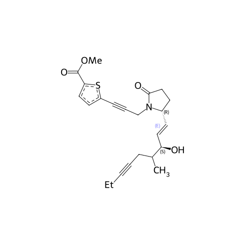 CCC#CCC(C)[C@H](O)/C=C/[C@H]1CCC(=O)N1CC#Cc1ccc(C(=O)OC)s1